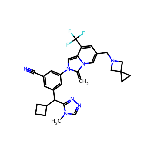 C=C1N2C=C(CN3CC4(CC4)C3)C=C(C(F)(F)F)C2=CN1c1cc(C#N)cc(C(c2nncn2C)C2CCC2)c1